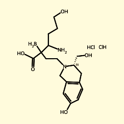 BC(CCN1Cc2cc(O)ccc2C[C@H]1CO)(C(=O)O)C(N)CCCO.Cl.Cl